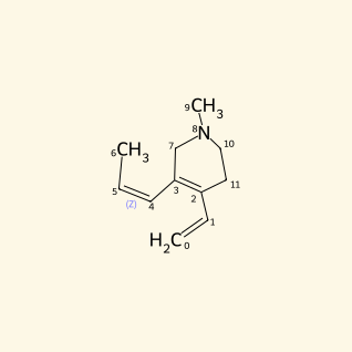 C=CC1=C(/C=C\C)CN(C)CC1